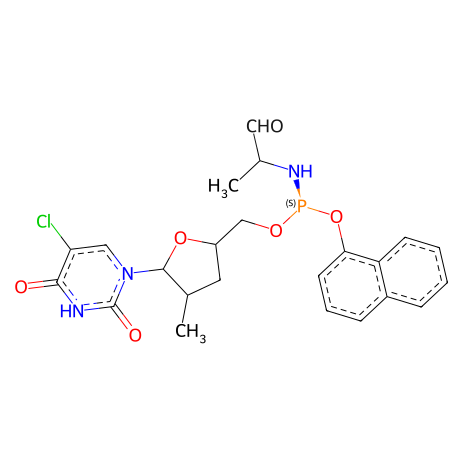 CC(C=O)N[P@](OCC1CC(C)C(n2cc(Cl)c(=O)[nH]c2=O)O1)Oc1cccc2ccccc12